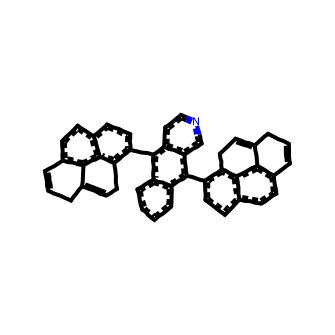 C1=Cc2ccc3ccc(-c4c5ccccc5c(-c5ccc6ccc7c8c6c5CC=C8CC=C7)c5cnccc45)c4c3c2C(=CC4)C1